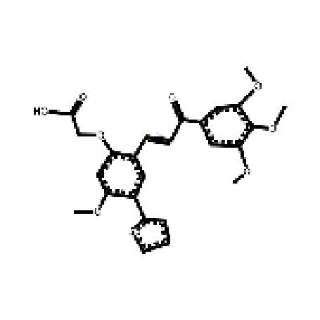 COc1cc(OCC(=O)O)c(/C=C/C(=O)c2cc(OC)c(OC)c(OC)c2)cc1-c1cccs1